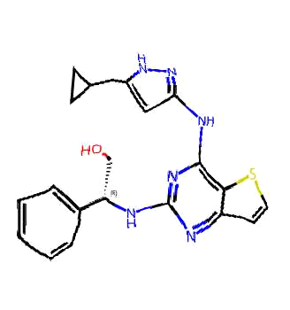 OC[C@H](Nc1nc(Nc2cc(C3CC3)[nH]n2)c2sccc2n1)c1ccccc1